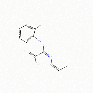 C=C(C#N)/C(=N\C=C/C)Nc1ccccc1Br